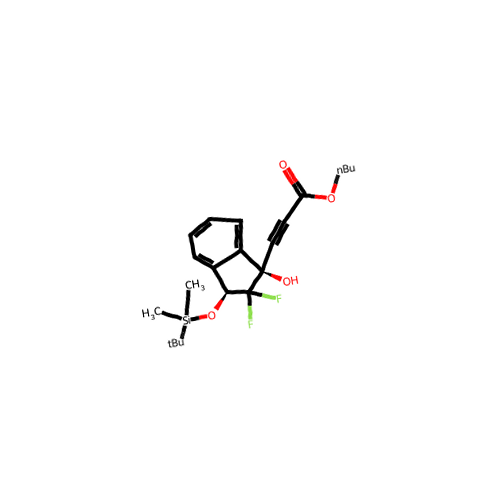 CCCCOC(=O)C#C[C@@]1(O)c2ccccc2[C@H](O[Si](C)(C)C(C)(C)C)C1(F)F